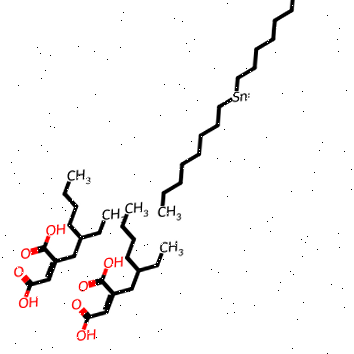 CCCCC(CC)C/C(=C/C(=O)O)C(=O)O.CCCCC(CC)C/C(=C/C(=O)O)C(=O)O.CCCCCCC[CH2][Sn][CH2]CCCCCCC